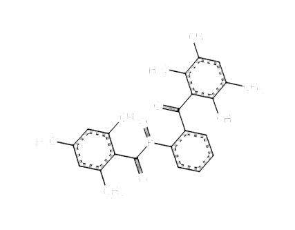 Cc1cc(C)c(C(=O)[P](=O)c2ccccc2C(=O)c2c(C)c(C)cc(C)c2C)c(C)c1